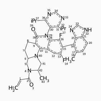 C=CC(=O)N1CC2CCc3c(c4cc(F)c(-c5c(C)ccc6[nH]cnc56)c(F)c4n(-c4c(C(C)C)ncnc4C(C)C)c3=O)N2CC1C